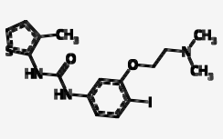 Cc1ccsc1NC(=O)Nc1ccc(I)c(OCCN(C)C)c1